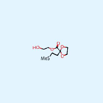 CSCCC1(C(=O)OCCO)OCCO1